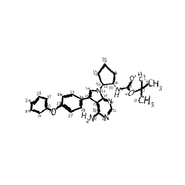 CC(C)(C)OC(=O)N[C@H]1CCC[C@@H]1n1cc(-c2ccc(Oc3ccccc3)cc2)c2c(N)ncnc21